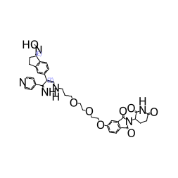 N=C(/C(=C\NCCCOCCOCCOc1ccc2c(c1)C(=O)N(C1CCC(=O)NC1=O)C2=O)c1ccc2c(c1)CC/C2=N\O)c1ccncc1